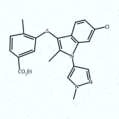 CCOC(=O)c1ccc(C)c(Sc2c(C)n(-c3cnn(C)c3)c3cc(Cl)ccc23)c1